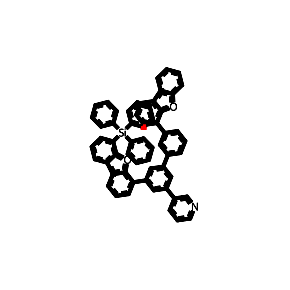 c1ccc([Si](c2ccccc2)(c2ccccc2)c2cccc3c2oc2c(-c4cc(-c5cccnc5)cc(-c5cccc(-c6cccc7c6oc6ccccc67)c5)c4)cccc23)cc1